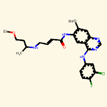 CCOCCC(C)NC/C=C/C(=O)Nc1cc2c(Nc3ccc(F)c(Cl)c3)ncnc2cc1OC